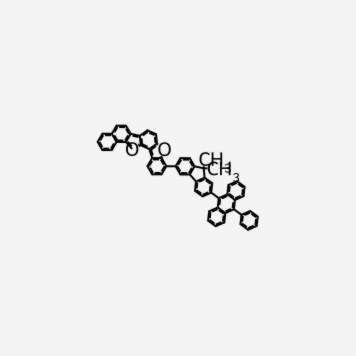 CC1(C)c2ccc(-c3cccc4c3oc3ccc5c6ccc7ccccc7c6oc5c34)cc2-c2ccc(-c3c4ccccc4c(-c4ccccc4)c4ccccc34)cc21